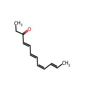 C/C=C/C=C\C=C\C=C\C(=O)CC